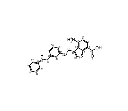 Nc1ncc(C(=O)O)c2scc(COc3cccc(CNc4ccccc4)c3)c12